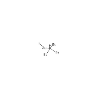 CC[PH](CC)(CC)[Au][I]